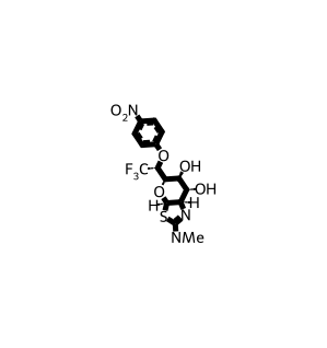 CNC1=N[C@@H]2[C@@H](O)[C@H](O)[C@@H]([C@@H](Oc3ccc([N+](=O)[O-])cc3)C(F)(F)F)O[C@@H]2S1